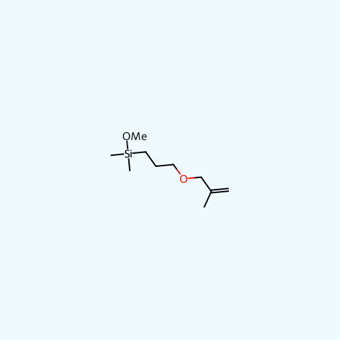 C=C(C)COCCC[Si](C)(C)OC